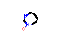 [O-][N+]1=CN=CC=CC=C1